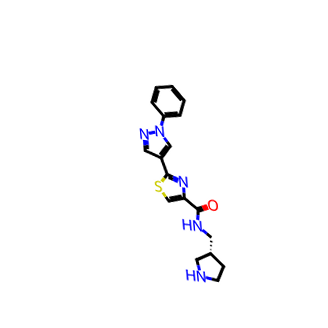 O=C(NC[C@@H]1CCNC1)c1csc(-c2cnn(-c3ccccc3)c2)n1